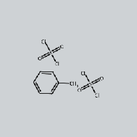 Cc1ccccc1.O=S(=O)(Cl)Cl.O=S(=O)(Cl)Cl